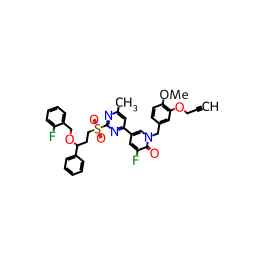 C#CCOc1cc(Cn2cc(-c3cc(C)nc(S(=O)(=O)CCC(OCc4ccccc4F)c4ccccc4)n3)cc(F)c2=O)ccc1OC